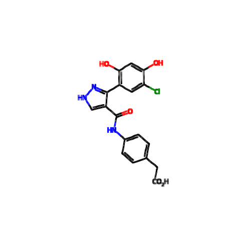 O=C(O)Cc1ccc(NC(=O)c2c[nH]nc2-c2cc(Cl)c(O)cc2O)cc1